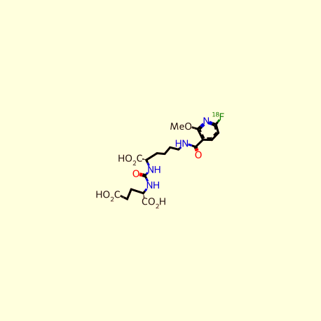 COc1nc([18F])ccc1C(=O)NCCCC[C@H](NC(=O)N[C@@H](CCC(=O)O)C(=O)O)C(=O)O